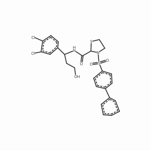 O=C(NC(CCO)c1ccc(Cl)c(Cl)c1)C1SCCN1S(=O)(=O)c1ccc(-c2ccccc2)cc1